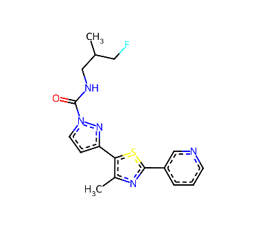 Cc1nc(-c2cccnc2)sc1-c1ccn(C(=O)NCC(C)CF)n1